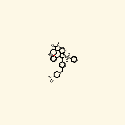 CN1C(=O)C2(CCNCC2)c2c1cnc1c2c(-c2ccccc2)c(-c2ccc(CN3CCC([S+](C)[O-])CC3)cc2)n1S(=O)(=O)c1ccccc1